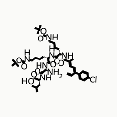 C=C/C(=C\C=C(/C)C(=O)N[C@@H](CCCCNC(=O)OC(C)(C)C)C(=O)N[C@@H](CCCCNC(=O)OC(C)(C)C)C(=O)N[C@@H](N)C(=O)N[C@@H](CC(C)C)C(=O)O)c1ccc(Cl)cc1